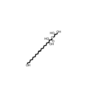 O=C(OCC(O)CO)C(O)C(O)CCCCCC=CCCCCCCCCO